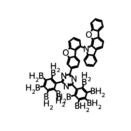 Bc1c(B)c(B)c(-c2nc(-c3ccc4c(c3)oc3cccc(-n5c6ccccc6c6ccc7c8ccccc8oc7c65)c34)nc(-c3c(B)c(B)c(B)c(B)c3B)n2)c(B)c1B